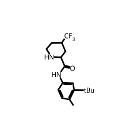 Cc1ccc(NC(=O)C2CC(C(F)(F)F)CCN2)cc1C(C)(C)C